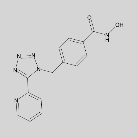 O=C(NO)c1ccc(Cn2nnnc2-c2ccccn2)cc1